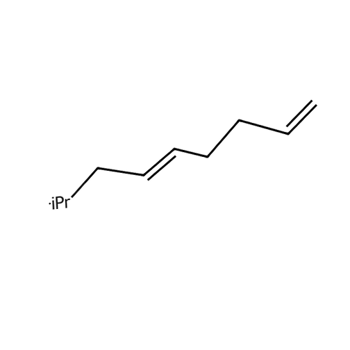 C=CCCC=CC[C](C)C